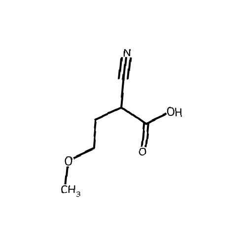 COCCC(C#N)C(=O)O